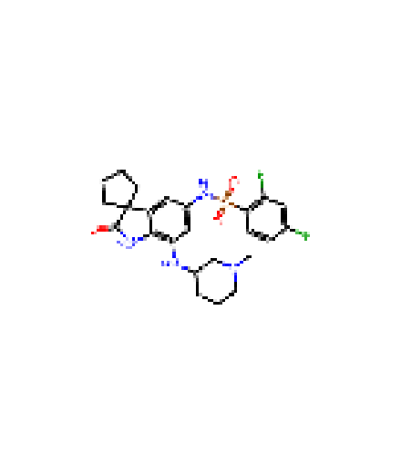 CN1CCCC(Nc2cc(NS(=O)(=O)c3ccc(F)cc3F)cc3c2NC(=O)C32CCCC2)C1